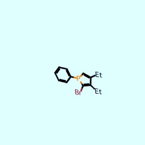 CCc1cp(-c2ccccc2)c(Br)c1CC